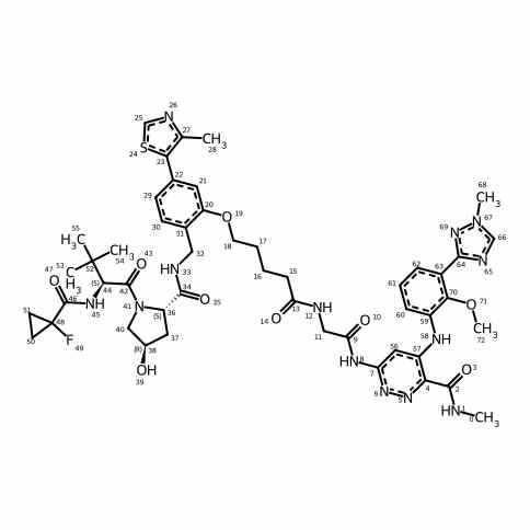 CNC(=O)c1nnc(NC(=O)CNC(=O)CCCCOc2cc(-c3scnc3C)ccc2CNC(=O)[C@@H]2C[C@@H](O)CN2C(=O)[C@@H](NC(=O)C2(F)CC2)C(C)(C)C)cc1Nc1cccc(-c2ncn(C)n2)c1OC